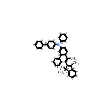 CC1=C(/C=C(\C)c2ccc(N(c3ccccc3)c3ccc(-c4ccccc4)cc3)cc2-c2ccccc2)C(C)(C)c2ccccc21